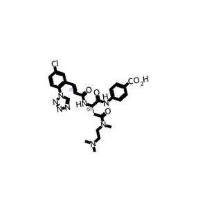 CN(C)CCN(C)C(=O)C[C@H](NC(=O)/C=C/c1cc(Cl)ccc1-n1cnnn1)C(=O)Nc1ccc(C(=O)O)cc1